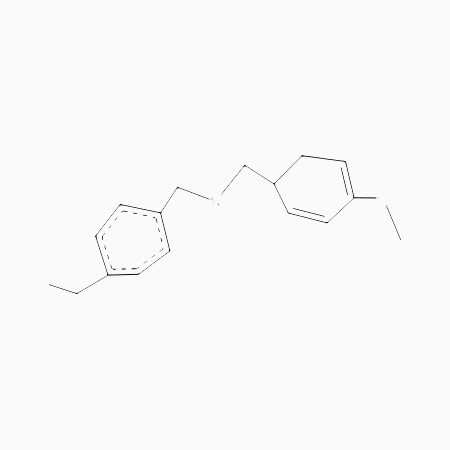 CCc1ccc(CNCC2C=CC(OC)=CC2)cc1